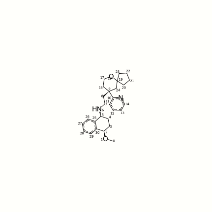 CO[C@@H]1CC[C@H](NCC[C@@]2(c3ccccn3)CCOC3(CCCC3)C2)c2ccccc21